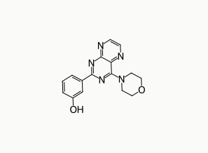 Oc1cccc(-c2nc(N3CCOCC3)c3nccnc3n2)c1